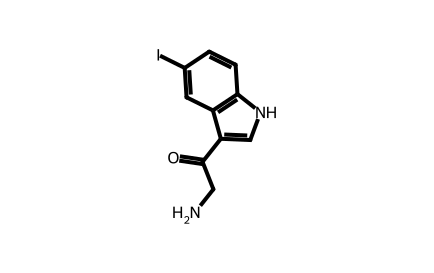 NCC(=O)c1c[nH]c2ccc(I)cc12